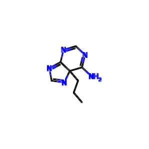 CCCC12N=CN=C1N=CN=C2N